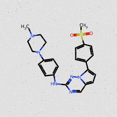 CN1CCN(c2ccc(Nc3ncc4ccc(-c5ccc(S(C)(=O)=O)cc5)n4n3)cc2)CC1